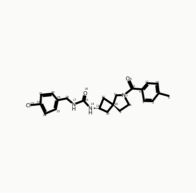 Cc1ccc(C(=O)N2CC[C@]3(C2)C[C@@H](NC(=O)NCc2ccc(Cl)cc2)C3)cc1